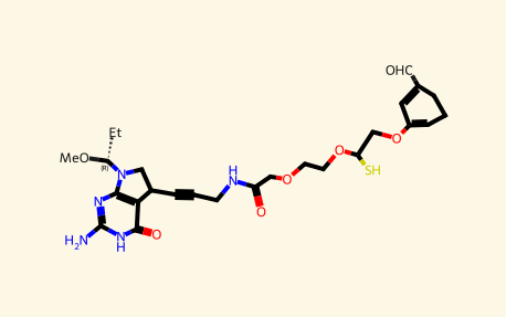 CC[C@@H](OC)N1CC(C#CCNC(=O)COCCOC(S)COC2=CCCC(C=O)=C2)c2c1nc(N)[nH]c2=O